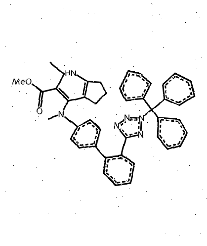 COC(=O)C1=C(N(C)c2ccc(-c3ccccc3-c3nnn(C(c4ccccc4)(c4ccccc4)c4ccccc4)n3)cc2)C2=C(CCC2)NC1C